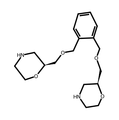 c1ccc(COC[C@@H]2CNCCO2)c(COC[C@@H]2CNCCO2)c1